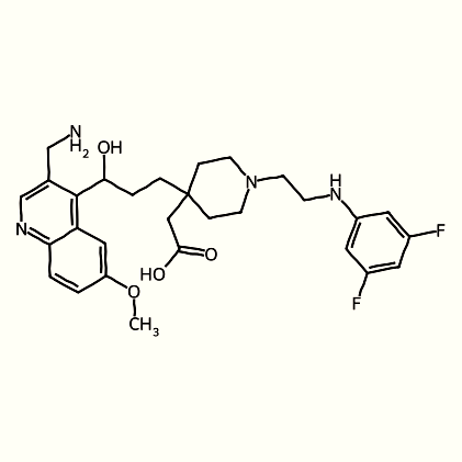 COc1ccc2ncc(CN)c(C(O)CCC3(CC(=O)O)CCN(CCNc4cc(F)cc(F)c4)CC3)c2c1